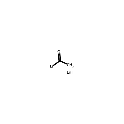 [LiH].[Li][C](C)=O